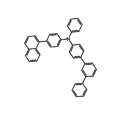 c1ccc(-c2cccc(-c3ccc(N(c4ccccc4)c4ccc(-c5cccc6ccccc56)cc4)cc3)c2)cc1